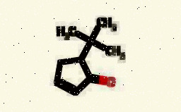 CC(C)(C)C1CC=CC1=O